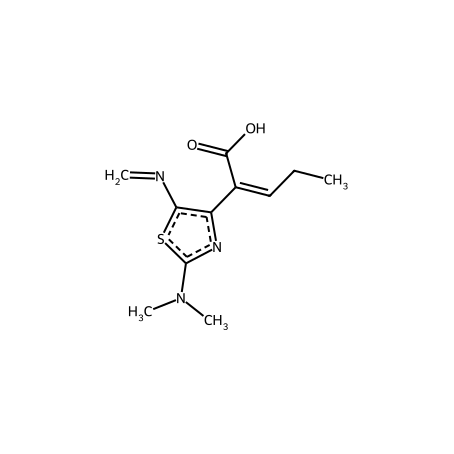 C=Nc1sc(N(C)C)nc1C(=CCC)C(=O)O